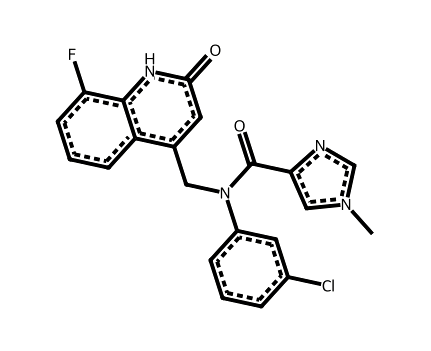 Cn1cnc(C(=O)N(Cc2cc(=O)[nH]c3c(F)cccc23)c2cccc(Cl)c2)c1